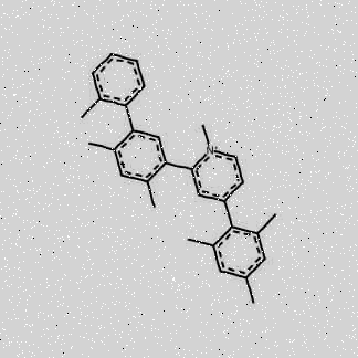 Cc1cc(C)c(-c2cc[n+](C)c(-c3cc(-c4ccccc4C)c(C)cc3C)c2)c(C)c1